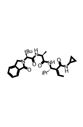 CC=C(C(=O)NC1CC1)[C@@H](NC(=O)[C@H](C)NC(=O)[C@@H](N1Cc2ccccc2C1=O)C(C)(C)C)C(C)C